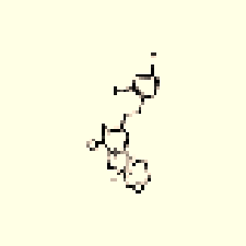 O=c1nc(CCc2ccc(F)cc2F)cc2n1C[C@H]1COCCN21